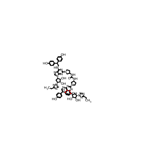 CCc1nnn([C@H]2C[C@@H](n3cnc4c(NCC(c5ccc(O)cc5)c5ccc(O)cc5)nc(N5CCC(NC(=O)N[C@H]6CCN(c7nc(NCC(c8ccc(O)cc8)c8ccc(O)cc8)c8ncn([C@@H]9C[C@H](n%10nnc(CC)n%10)[C@@H](O)[C@H]9O)c8n7)C6)C5)nc43)[C@H](O)[C@@H]2O)n1